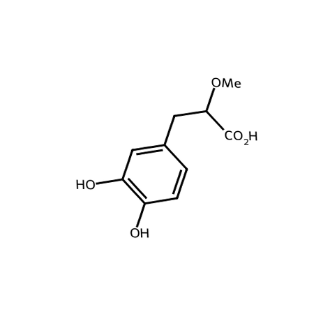 COC(Cc1ccc(O)c(O)c1)C(=O)O